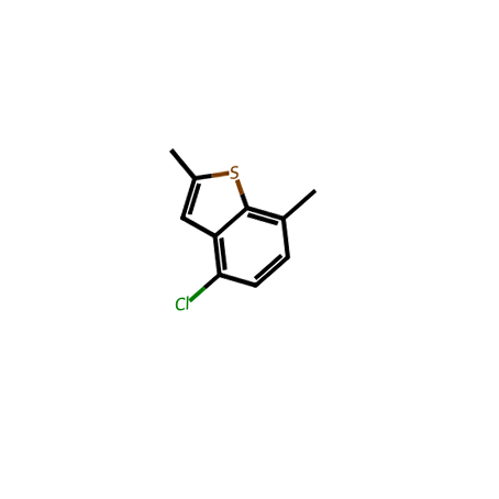 Cc1cc2c(Cl)ccc(C)c2s1